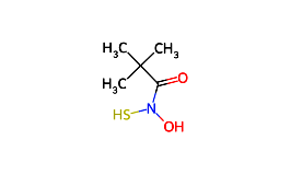 CC(C)(C)C(=O)N(O)S